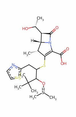 C[C@@H](O)[C@H]1C(=O)N2C(C(=O)O)=C(SC(Cc3nccs3)C(O[SiH](C)C)C(C)(C)C)[C@H](C)[C@H]12